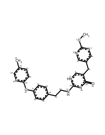 COc1ncc(Cc2c[nH]c(NCCc3ccc(Oc4ccc(C)cn4)cc3)nc2=O)cn1